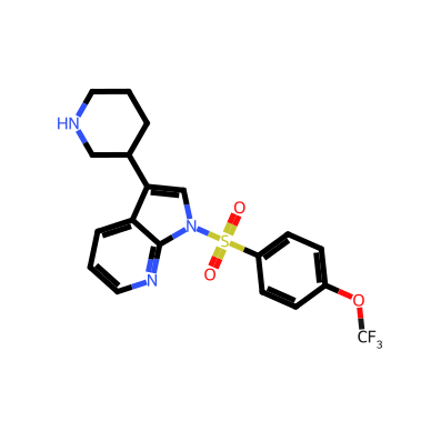 O=S(=O)(c1ccc(OC(F)(F)F)cc1)n1cc(C2CCCNC2)c2cccnc21